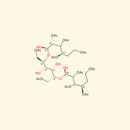 CC(=O)OCC[C@@H](OC(C)=O)C(OC(C)=O)C(OC(C)=O)[C@H](O)O[C@H](COC(C)=O)[C@@H](O)[C@H](O)[C@@H](COC(C)=O)O[C@@H](O)[C@H](OC(C)=O)C(OC(C)=O)[C@@H](CCOC(C)=O)OC(C)=O